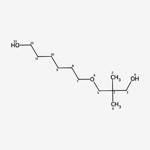 CC(C)(CO)COCCCCCCO